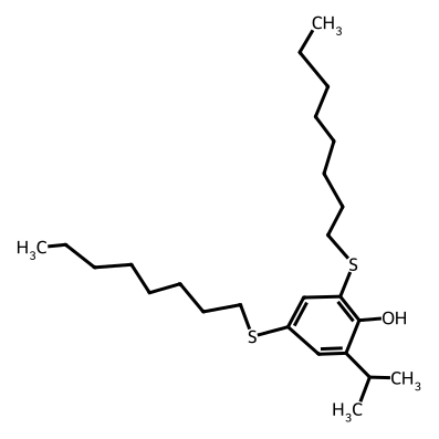 CCCCCCCCSc1cc(SCCCCCCCC)c(O)c(C(C)C)c1